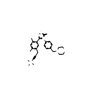 Cc1cc(C)c(-c2n[nH]c(=O)n2-c2ccc(CN3CCOCC3)cc2)cc1CC#C[Si](C)(C)C